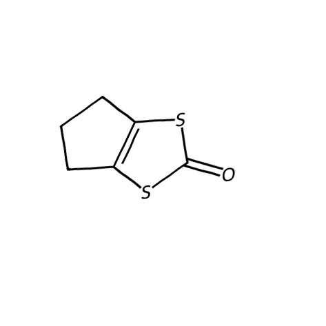 O=c1sc2c(s1)CCC2